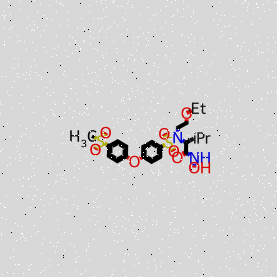 CCOCCN(C(C(=O)NO)C(C)C)S(=O)(=O)c1ccc(Oc2ccc(S(C)(=O)=O)cc2)cc1